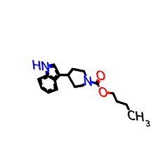 CCCCOC(=O)N1CCC(c2c[nH]c3ccccc23)CC1